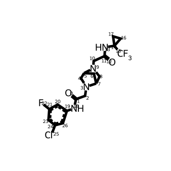 O=C(CN1CC2CC1CN2CC(=O)NC1(C(F)(F)F)CC1)Nc1cc(F)cc(Cl)c1